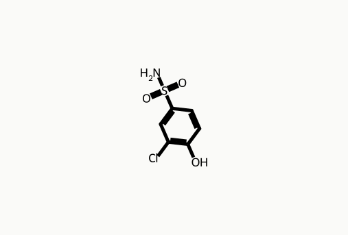 NS(=O)(=O)c1ccc(O)c(Cl)c1